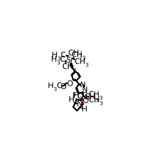 COCOc1cc(C#C[Si](C(C)C)(C(C)C)C(C)C)ccc1-c1ccc(N(C)[C@H]2C[C@@H]3CC[C@H]([C@H]2F)N3C(=O)OC(C)(C)C)nn1